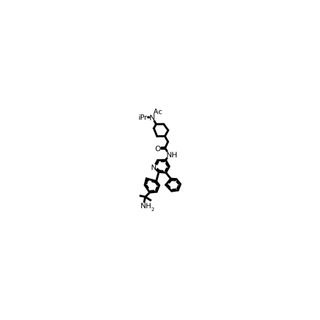 CC(=O)N(C(C)C)C1CCC(CC(=O)Nc2cnc(-c3ccc(C(C)(C)N)cc3)c(-c3ccccc3)c2)CC1